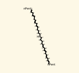 CCCCCC=CCC=CCC=CCC=CCCCCNCCCCC=CCC=CCC=CCC=CCCCCC